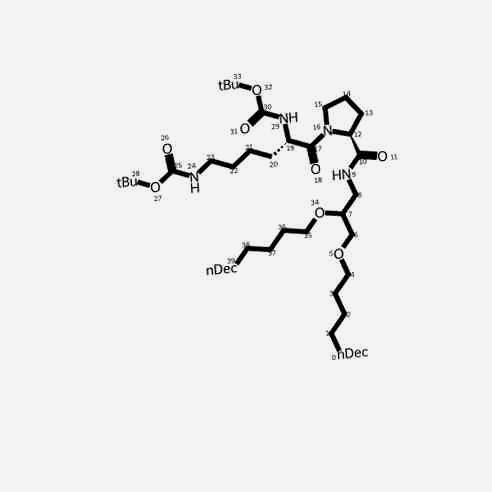 CCCCCCCCCCCCCCOCC(CNC(=O)[C@@H]1CCCN1C(=O)[C@H](CCCCNC(=O)OC(C)(C)C)NC(=O)OC(C)(C)C)OCCCCCCCCCCCCCC